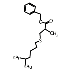 CCCCC(CCC)CCCCSCC(C)C(=O)OCc1ccccc1